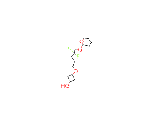 OC1CC(OCCCC(F)(F)COC2CCCCO2)C1